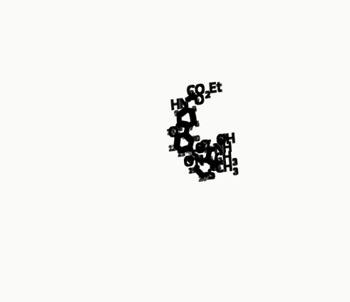 CCOC(=O)C(=O)Nc1ccc2c(c1)oc1ccc(S(=O)(=O)N3CCSC(C)(C)C3C(=O)NO)cc12